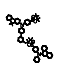 CC1(C)c2ccccc2-c2ccc(N(c3ccc(B4OC(C)(C)C(C)(C)O4)cc3)c3ccc(-c4cccc(CC5(C)OB(c6ccc(N(c7ccccc7)c7cc8ccccc8c8ccccc78)cc6)OC5(C)C)c4)cc3)cc21